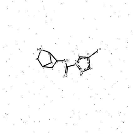 O=C(NC1CC2CNC1C2)n1cc(I)cn1